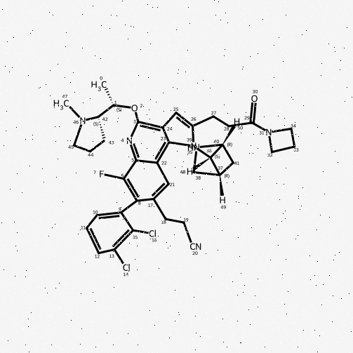 C[C@H](Oc1nc2c(F)c(-c3cccc(Cl)c3Cl)c(CCC#N)cc2c2c1cc(CCC(=O)N1CCC1)n2[C@H]1[C@H]2CN[C@@H]1C2)[C@@H]1CCCN1C